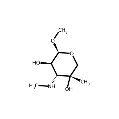 CN[C@@H]1[C@@H](O)[C@@H](OC)OC[C@]1(C)O